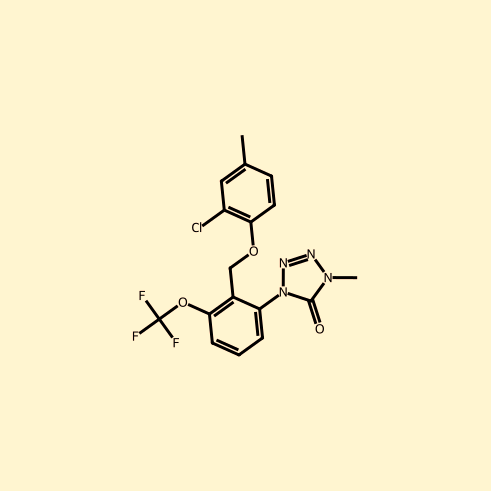 Cc1ccc(OCc2c(OC(F)(F)F)cccc2-n2nnn(C)c2=O)c(Cl)c1